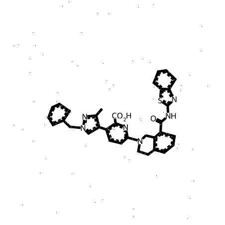 Cc1nn(Cc2ccccc2)cc1-c1ccc(N2CCc3cccc(C(=O)Nc4nc5ccccc5s4)c3C2)nc1C(=O)O